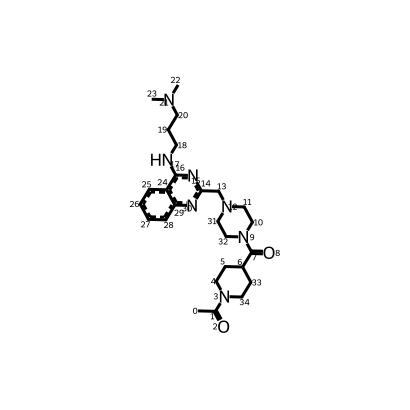 CC(=O)N1CCC(C(=O)N2CCN(Cc3nc(NCCCN(C)C)c4ccccc4n3)CC2)CC1